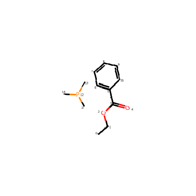 CCOC(=O)c1ccccc1.CP(C)C